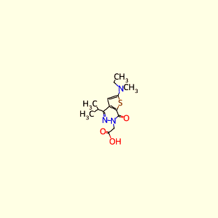 CCN(C)c1cc2c(C(C)C)nn(CC(=O)O)c(=O)c2s1